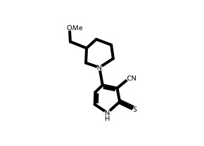 COCC1CCCN(c2cc[nH]c(=S)c2C#N)C1